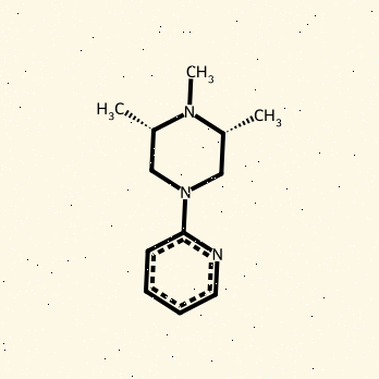 C[C@@H]1CN(c2ccccn2)C[C@H](C)N1C